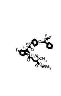 CCOC(=O)C(CCC(=O)n1cc(NC(=O)Nc2ccc(OCC(SC(F)(F)F)c3ccccc3)cc2)c2cc(F)ccc21)N(C)C.Cl